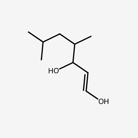 CC(C)CC(C)C(O)C=CO